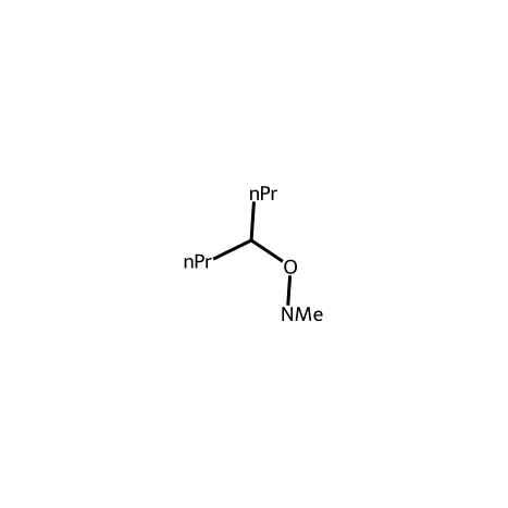 CCCC(CCC)ONC